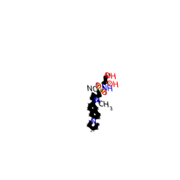 Cn1c(/C=C(\C#N)S(=O)(=O)NCC(O)CO)ccc1-c1ccc2cc(N3CCCCC3)ccc2c1